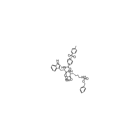 Cc1ccc(S(=O)(=O)N2C=CN(C(=O)NC(Cc3c[nH]c4ccccc34)C(=O)NC(CCCCNC(=O)OCc3ccccc3)C(=O)OC(C)(C)C)C=C2)cc1